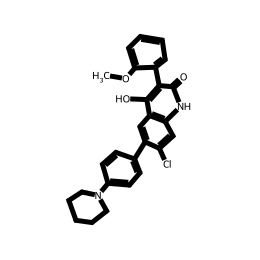 COc1ccccc1-c1c(O)c2cc(-c3ccc(N4CCCCC4)cc3)c(Cl)cc2[nH]c1=O